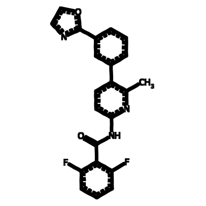 Cc1nc(NC(=O)c2c(F)cccc2F)ccc1-c1cccc(-c2ncco2)c1